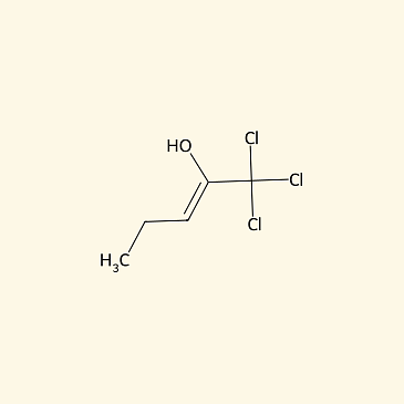 CCC=C(O)C(Cl)(Cl)Cl